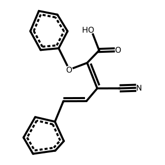 N#CC(C=Cc1ccccc1)=C(Oc1ccccc1)C(=O)O